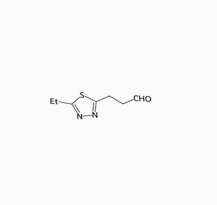 CCc1nnc(CCC=O)s1